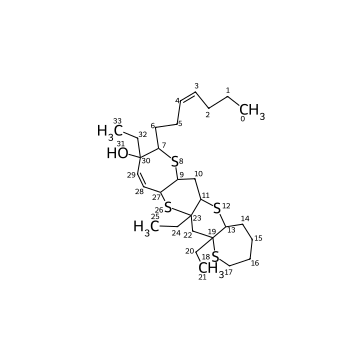 CCC/C=C\CCC1SC2CC3SC4CCCCSC4(CC)CC3(CC)SC2C=CC1(O)CC